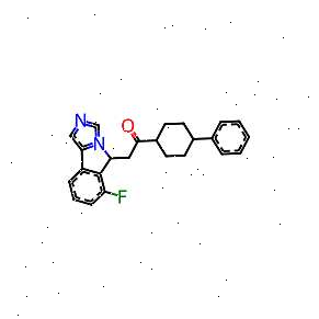 O=C(CC1c2c(F)cccc2-c2cncn21)C1CCC(c2ccccc2)CC1